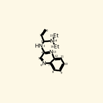 C=CC(Nc1cnc2ccccc2n1)N(CC)CC